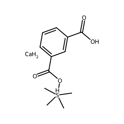 C[SH](C)(C)(C)OC(=O)c1cccc(C(=O)O)c1.[CaH2]